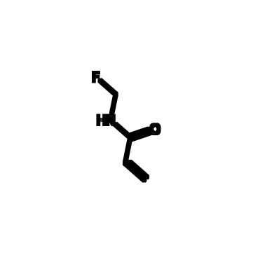 C=CC(=O)NCF